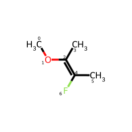 CO/C(C)=C(/C)F